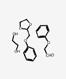 O=CCOc1ccccc1.OCCO.c1ccc(OCC2OCCO2)cc1